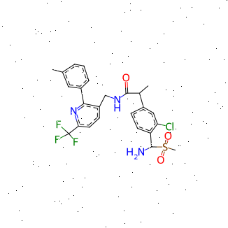 Cc1cccc(-c2nc(C(F)(F)F)ccc2CNC(=O)C(C)c2ccc(C(N)S(C)(=O)=O)c(Cl)c2)c1